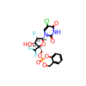 O=c1[nH]c(=O)n([C@@H]2O[C@@](COP3(=O)OCc4ccccc4O3)(C(F)F)[C@@H](O)[C@@H]2F)cc1Cl